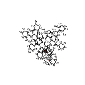 Cc1cc(C)c(N2c3cc4c(cc3B3c5cc6c(cc5N(c5c(C)cc(C)cc5C)c5cc(-c7c(C)cccc7C)cc2c53)N(c2ccccc2)c2cc(-c3c(C)cccc3C)cc3c2B6c2cccc(-c5ccccc5)c2O3)B2c3cccc(-c5ccccc5)c3Oc3cc(-c5c(C)cccc5C)cc(c32)O4)c(C)c1